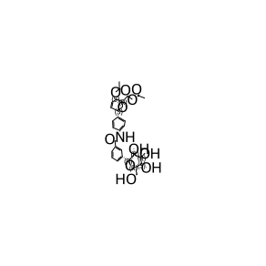 CC(=O)OC[C@H]1O[C@H](c2ccc(NC(=O)c3cccc([C@H]4O[C@H](CO)[C@@H](O)[C@H](O)[C@H]4O)c3)cc2)C=C[C@@H]1OC(C)=O